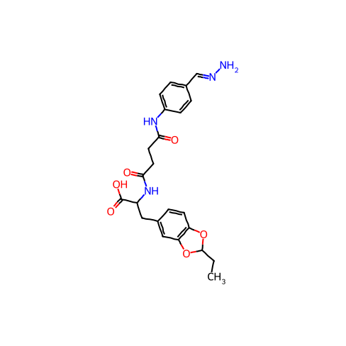 CCC1Oc2ccc(CC(NC(=O)CCC(=O)Nc3ccc(C=NN)cc3)C(=O)O)cc2O1